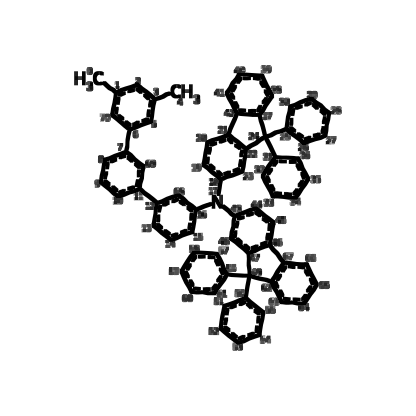 Cc1cc(C)cc(-c2cccc(-c3cccc(N(c4ccc5c(c4)C(c4ccccc4)(c4ccccc4)c4ccccc4-5)c4ccc5c(c4)C(c4ccccc4)(c4ccccc4)c4ccccc4-5)c3)c2)c1